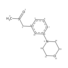 CC(=O)Cc1cccc(N2CCOCC2)c1